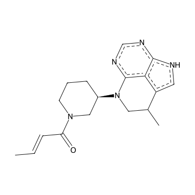 C/C=C/C(=O)N1CCC[C@@H](N2CC(C)c3c[nH]c4ncnc2c34)C1